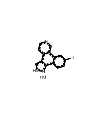 Cl.Clc1ccc2c(c1)c1cnccc1c1c[nH]nc21